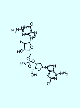 Nc1nc2c(ncn2[C@@H]2O[C@H](COP(=O)(S)OC3C[C@H](n4cnc5c(N)nc(Cl)nc54)O[C@@H]3CO)C(O)C2F)c(=O)[nH]1